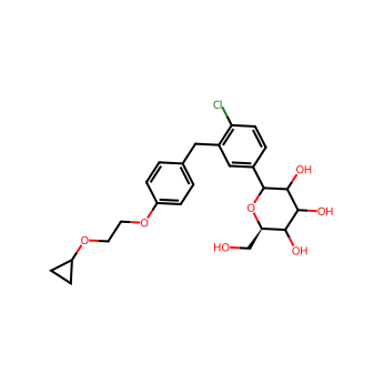 OC[C@H]1OC(c2ccc(Cl)c(Cc3ccc(OCCOC4CC4)cc3)c2)C(O)C(O)C1O